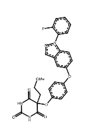 COCCC1(Oc2ccc(Oc3ccc4c(cnn4-c4ccccc4F)c3)cc2)C(=O)NC(=O)NC1=O